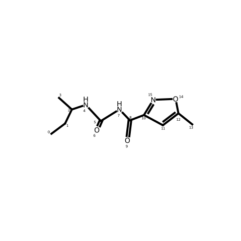 CCC(C)NC(=O)NC(=O)c1cc(C)on1